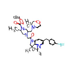 C[C@@H]1COCCN1CC1CN(C(=O)OC(C)(C)C)[C@H](C)CN1CC(=O)N1CC(C)(C)c2ncc(Cc3ccc(F)cc3)cc21